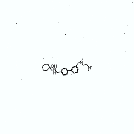 CN(C)CCN(C)Cc1cccc(-c2ccc(CNCC3(O)CCCCC3)cc2)c1